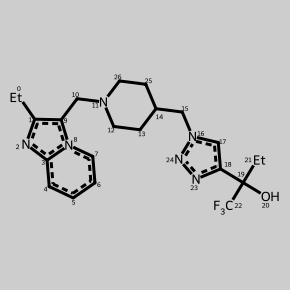 CCc1nc2ccccn2c1CN1CCC(Cn2cc(C(O)(CC)C(F)(F)F)nn2)CC1